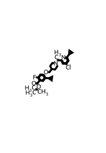 CC(c1cc(Cl)cc(C2CC2)n1)N1CCC(COc2cc(F)c(C(=O)OC(C)(C)C)cc2C2CC2)CC1